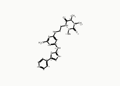 Cc1nc(NCCNC(=O)C(C)N(C)C(=O)OC(C)(C)C)cc(Nc2ncc(-c3ccncc3)s2)n1